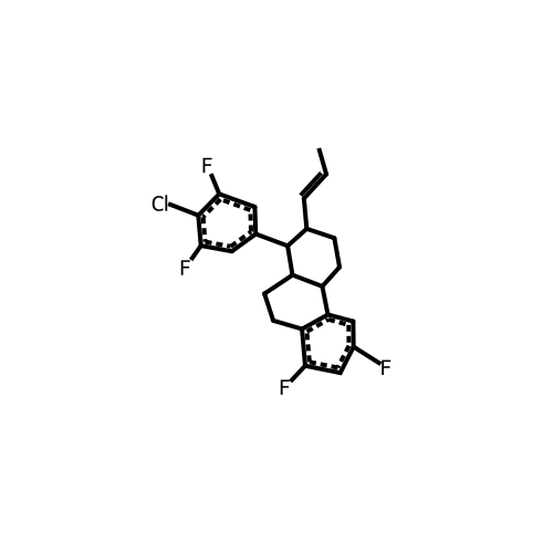 CC=CC1CCC2c3cc(F)cc(F)c3CCC2C1c1cc(F)c(Cl)c(F)c1